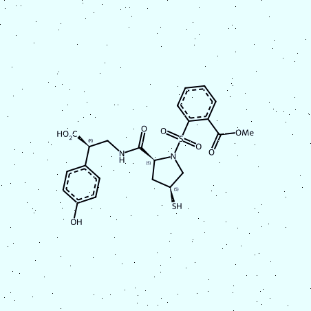 COC(=O)c1ccccc1S(=O)(=O)N1C[C@@H](S)C[C@H]1C(=O)NC[C@H](C(=O)O)c1ccc(O)cc1